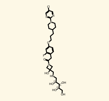 O=C(Cc1ccc(OCCCC2CCN(c3ncc(Cl)cn3)CC2)cc1F)N1CC(O)(CNC[C@H](O)[C@H](O)[C@H](O)CO)C1